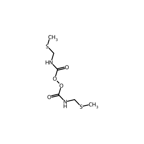 CSCNC(=O)OOC(=O)NCSC